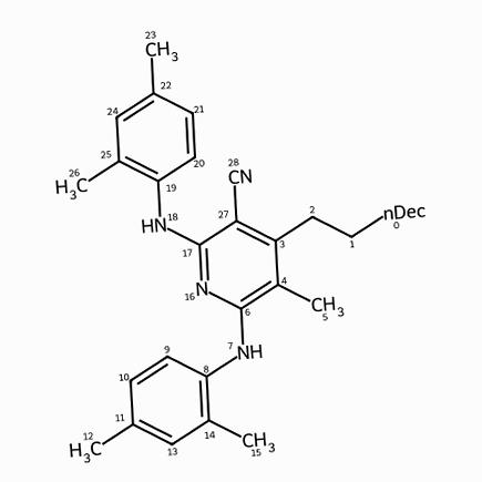 CCCCCCCCCCCCc1c(C)c(Nc2ccc(C)cc2C)nc(Nc2ccc(C)cc2C)c1C#N